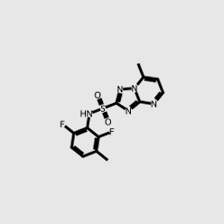 Cc1ccc(F)c(NS(=O)(=O)c2nc3nccc(C)n3n2)c1F